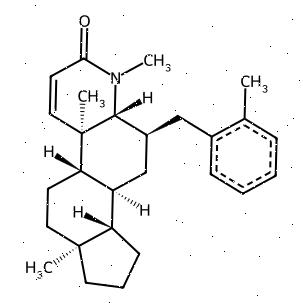 Cc1ccccc1C[C@H]1C[C@H]2[C@@H]3CCC[C@@]3(C)CC[C@@H]2[C@@]2(C)C=CC(=O)N(C)[C@H]12